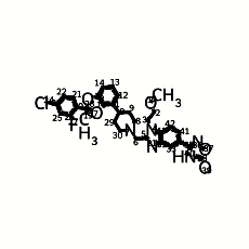 COCCn1c(CN2CCC(c3cccc4c3OC(C)(c3ccc(Cl)cc3F)O4)CC2)nc2cc(-c3noc(=O)[nH]3)ccc21